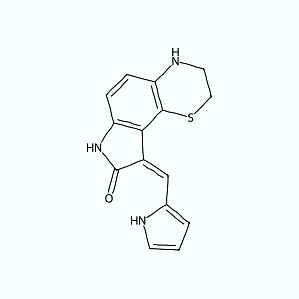 O=C1Nc2ccc3c(c2/C1=C/c1ccc[nH]1)SCCN3